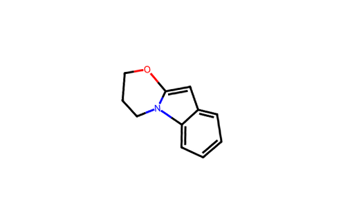 c1ccc2c(c1)cc1n2CCCO1